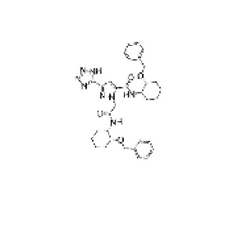 O=C(Cn1nc(-c2nnn[nH]2)cc1C(=O)N[C@@H]1CCCC[C@H]1OCc1ccccc1)N[C@H]1CCCC[C@@H]1OCc1ccccc1